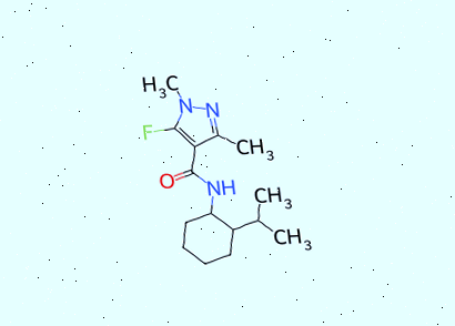 Cc1nn(C)c(F)c1C(=O)NC1CCCCC1C(C)C